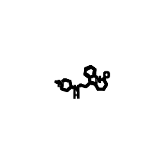 CN1CCC(NCCc2c3n(c4ccccc24)C(=O)CCC3)CC1